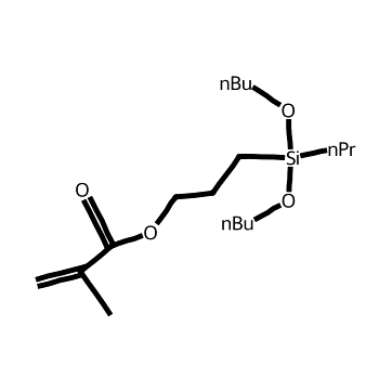 C=C(C)C(=O)OCCC[Si](CCC)(OCCCC)OCCCC